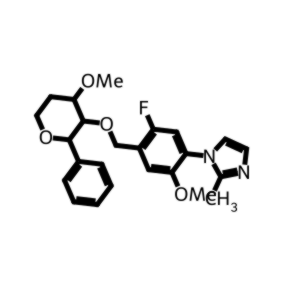 COc1cc(COC2C(OC)CCOC2c2ccccc2)c(F)cc1-n1ccnc1C